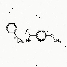 COc1ccc(C(C)N[C@@H]2C[C@H]2c2ccccc2)cc1